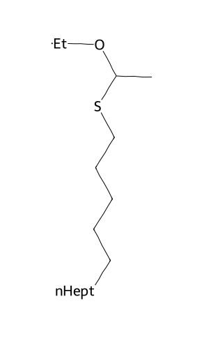 C[CH]OC(C)SCCCCCCCCCCCC